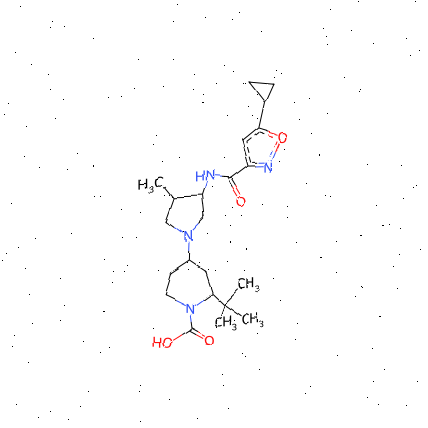 CC1CN(C2CCN(C(=O)O)C(C(C)(C)C)C2)CC1NC(=O)c1cc(C2CC2)on1